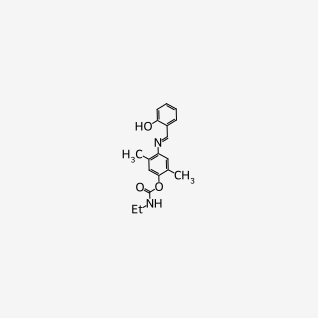 CCNC(=O)Oc1cc(C)c(N=Cc2ccccc2O)cc1C